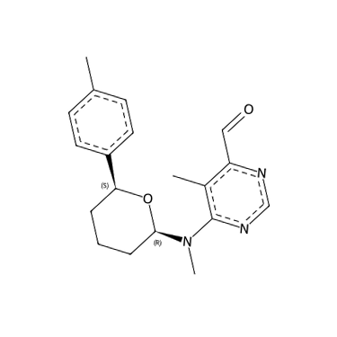 Cc1ccc([C@@H]2CCC[C@H](N(C)c3ncnc(C=O)c3C)O2)cc1